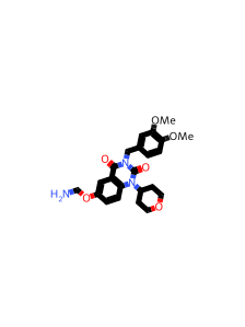 COc1ccc(Cn2c(=O)c3cc(OCN)ccc3n(C3CCOCC3)c2=O)cc1OC